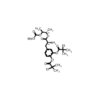 CCC(C)(C)C(=O)Oc1ccc(C[C@H](N)C(=O)O[C@@H](C)C(C)OC(=O)OC)cc1OC(=O)C(C)(C)CC